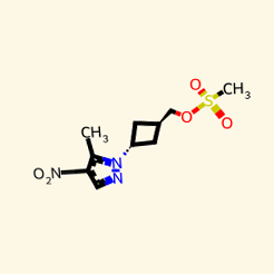 Cc1c([N+](=O)[O-])cnn1[C@H]1C[C@H](COS(C)(=O)=O)C1